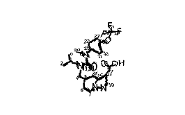 CC(C)N(Cc1ccn2ncc(C(=O)O)c2c1)C(=O)N(C)c1ccc(OC(F)(F)F)cc1